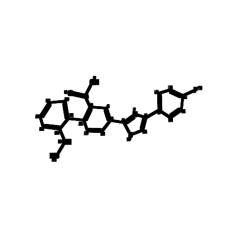 O=C(O)c1cc(-c2nc(-c3ccc(F)cc3)cs2)ccc1-c1ccccc1NO